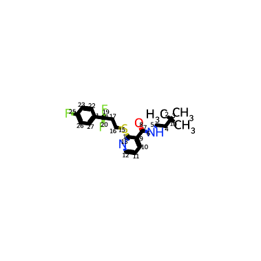 CC(C)(C)CCNC(=O)c1cccnc1SCCC(F)(F)c1ccc(F)cc1